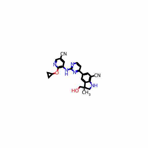 C[C@]1(CO)CNc2c(C#N)cc(-c3ccnc(Nc4cc(C#N)cnc4OC4CC4)n3)cc21